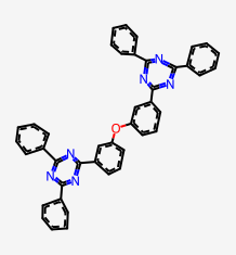 c1ccc(-c2nc(-c3ccccc3)nc(-c3cccc(Oc4cccc(-c5nc(-c6ccccc6)nc(-c6ccccc6)n5)c4)c3)n2)cc1